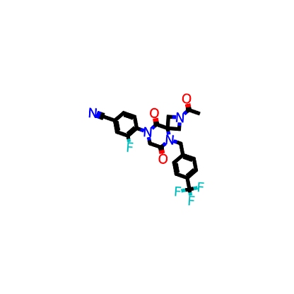 CC(=O)N1CC2(C1)C(=O)N(c1ccc(C#N)cc1F)CC(=O)N2Cc1ccc(C(F)(F)F)cc1